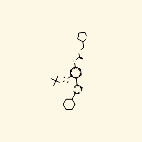 CC(C)(C)NS(=O)(=O)c1cc(NC(=O)OCC2CCCN2)ccc1-c1cnc(C2CCCCC2)s1